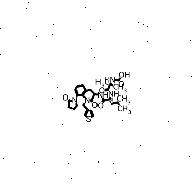 CC(C)C[C@@H](NC(=O)C(C)(C)NC(=O)O)C(=O)NC1Cc2cccc(N3CCCC3=O)c2N(Cc2ccsc2)C1=O